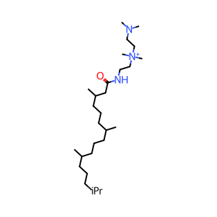 CC(C)CCCC(C)CCCC(C)CCCC(C)CC(=O)NCC[N+](C)(C)CCN(C)C